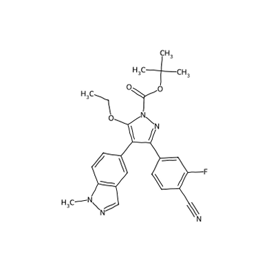 CCOc1c(-c2ccc3c(cnn3C)c2)c(-c2ccc(C#N)c(F)c2)nn1C(=O)OC(C)(C)C